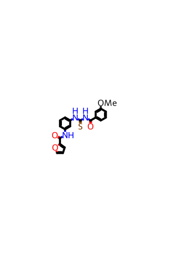 COc1cccc(C(=O)NC(=S)Nc2cccc(NC(=O)c3ccco3)c2)c1